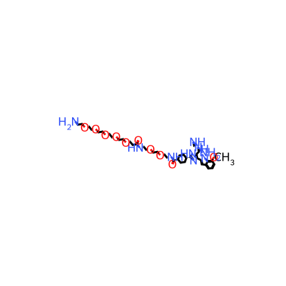 COc1cccc2cc(-c3nc([C@H]4CC[C@H](C(=O)NCCOCCOCCNC(=O)CCOCCOCCOCCOCCOCCN)CC4)[nH]c3/C(N)=N\C=N)[nH]c12